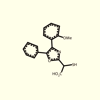 COc1ccccc1-c1nc(C(S)C(=O)O)oc1-c1ccccc1